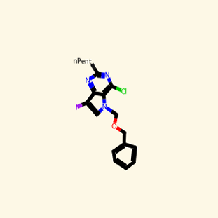 CCCCCc1nc(Cl)c2c(n1)c(I)cn2COCc1ccccc1